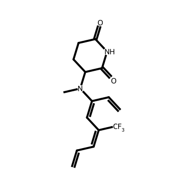 C=C/C=C(\C=C(/C=C)N(C)C1CCC(=O)NC1=O)C(F)(F)F